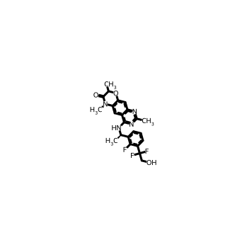 Cc1nc(N[C@H](C)c2cccc(C(F)(F)CO)c2F)c2cc3c(cc2n1)OC(C)C(=O)N3C